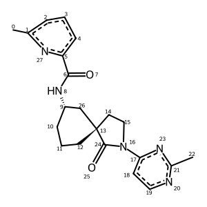 Cc1cccc(C(=O)N[C@H]2CCC[C@]3(CCN(c4ccnc(C)n4)C3=O)C2)n1